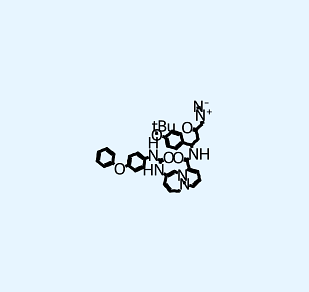 CC(C)(C)Oc1ccc(C(CC(=O)C=[N+]=[N-])NC(=O)C2=CC=CN3CC=CC(NC(=O)Nc4ccc(Oc5ccccc5)cc4)=CN23)cc1